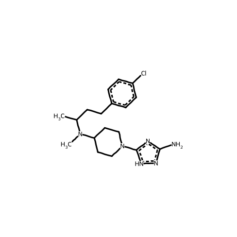 CC(CCc1ccc(Cl)cc1)N(C)C1CCN(c2nc(N)n[nH]2)CC1